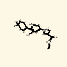 CCOC(=O)c1cnn(-c2cnc(C3CCC(F)(F)CC3)c(F)c2)c1